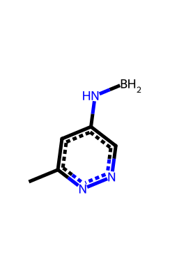 BNc1cnnc(C)c1